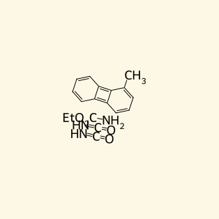 CCOC(N)=O.Cc1cccc2c1=c1ccccc1=2.N=C=O.N=C=O